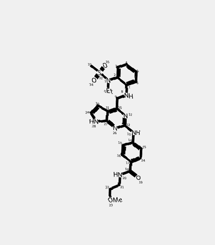 CCN(c1ccccc1NCc1nc(Nc2ccc(C(=O)NCCOC)cc2)nc2[nH]ccc12)S(C)(=O)=O